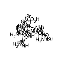 CC[C@H](C)[C@H](N)C(=O)NCC(=O)N1CCC[C@H]1C(=O)N[C@@H](CCCCN)C(=O)NCC(=O)N[C@@H](CCCNC(=N)N)C(=O)N[C@@H](CC(N)=O)C(=O)N[C@H](C(=O)N[C@H](C(=O)N[C@@H](CC(C)C)C(=O)O)C(C)C)C(C)C